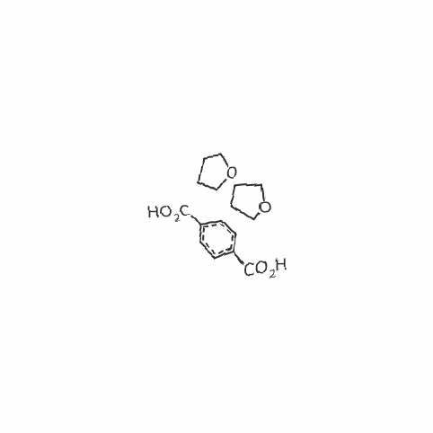 C1CCOC1.C1CCOC1.O=C(O)c1ccc(C(=O)O)cc1